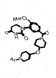 COc1ccc(C(=O)N2CCC(OC3CCN(C(C)=O)CC3)CC2)cc1N1CCC(=O)NC1=O